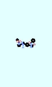 CC(C)(C)OC(=O)n1cccc1-c1ncc(-c2ccc3c(c2)O[C@@H](c2ccccc2)n2c(Br)cnc2-3)[nH]1